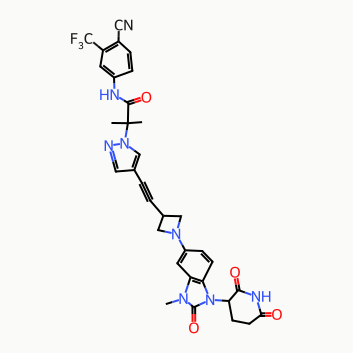 Cn1c(=O)n(C2CCC(=O)NC2=O)c2ccc(N3CC(C#Cc4cnn(C(C)(C)C(=O)Nc5ccc(C#N)c(C(F)(F)F)c5)c4)C3)cc21